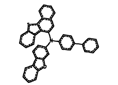 c1ccc(-c2ccc(N(c3ccc4c(c3)oc3ccccc34)c3cc4ccccc4c4sc5ccccc5c34)cc2)cc1